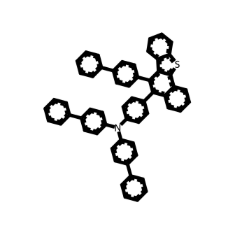 c1ccc(-c2ccc(-c3c(-c4ccc(N(c5ccc(-c6ccccc6)cc5)c5ccc(-c6ccccc6)cc5)cc4)c4ccccc4c4sc5ccccc5c34)cc2)cc1